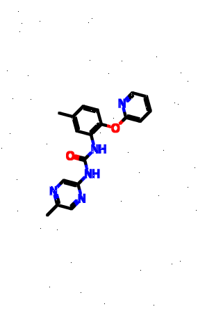 Cc1ccc(Oc2ccccn2)c(NC(=O)Nc2cnc(C)cn2)c1